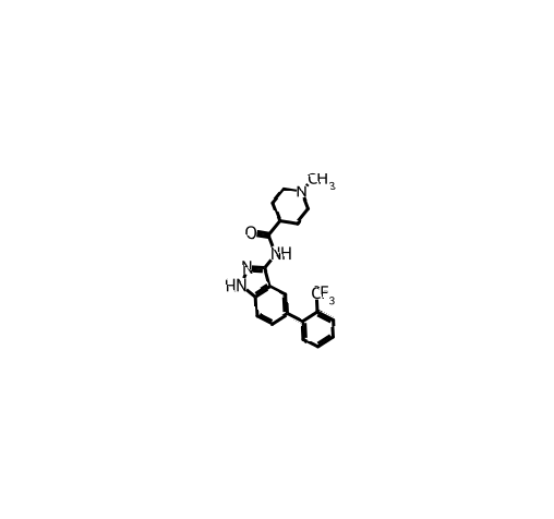 CN1CCC(C(=O)Nc2n[nH]c3ccc(-c4ccccc4C(F)(F)F)cc23)CC1